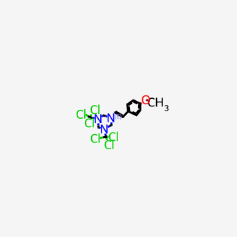 COc1ccc(/C=C/N2CN(C(Cl)(Cl)Cl)CN(C(Cl)(Cl)Cl)C2)cc1